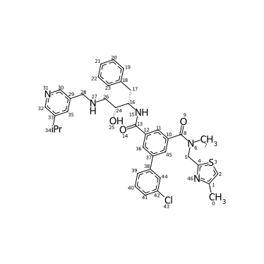 Cc1csc(CN(C)C(=O)c2cc(C(=O)N[C@@H](Cc3ccccc3)[C@H](O)CNCc3cncc(C(C)C)c3)cc(-c3cccc(Cl)c3)c2)n1